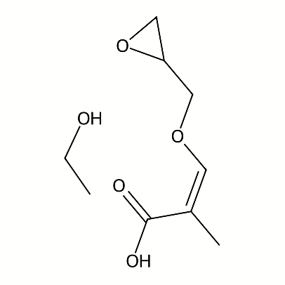 CC(=COCC1CO1)C(=O)O.CCO